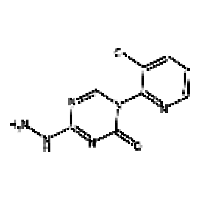 NNc1ncn(-c2ncccc2Cl)c(=O)n1